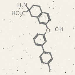 Cl.NC1(C(=O)O)CCc2ccc(Oc3cccc(-c4ccc(F)cc4)c3)cc2C1